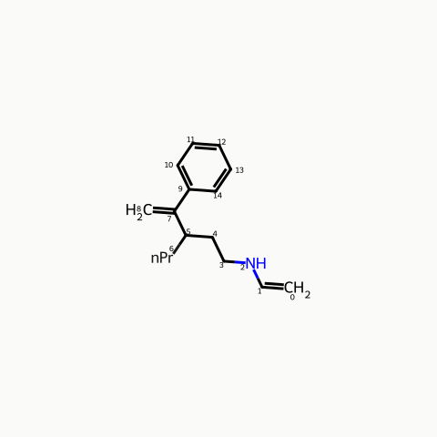 C=CNCCC(CCC)C(=C)c1ccccc1